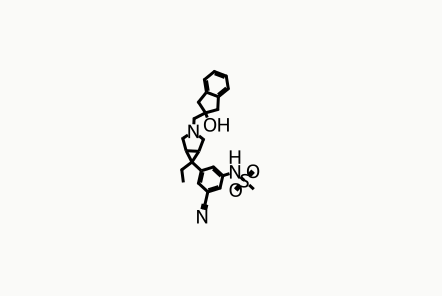 CCC1(c2cc(C#N)cc(NS(C)(=O)=O)c2)C2CN(CC3(O)Cc4ccccc4C3)CC21